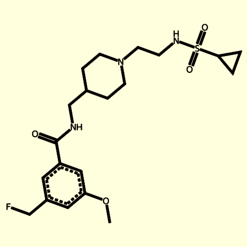 COc1cc(CF)cc(C(=O)NCC2CCN(CCNS(=O)(=O)C3CC3)CC2)c1